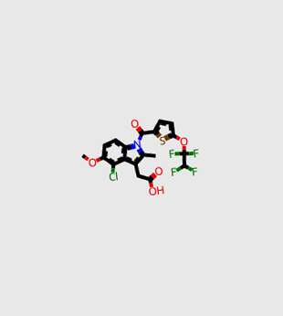 COc1ccc2c(c1Cl)c(CC(=O)O)c(C)n2C(=O)c1ccc(OC(F)(F)C(F)F)s1